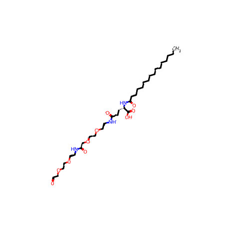 CCCCCCCCCCCCCCCC(=O)N[C@@H](CCC(=O)NCCOCCOCC(=O)NCCOCCOCC=O)C(=O)O